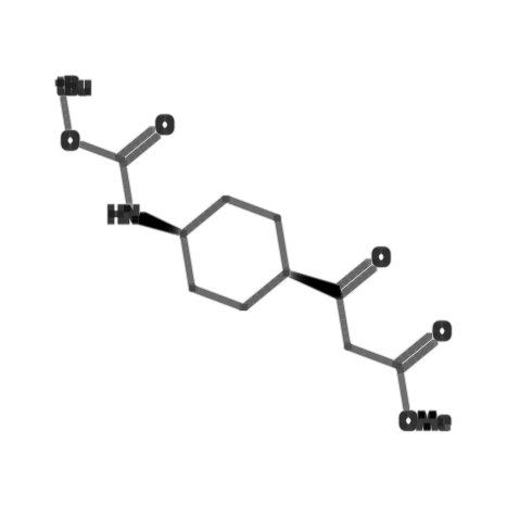 COC(=O)CC(=O)[C@H]1CC[C@@H](NC(=O)OC(C)(C)C)CC1